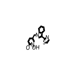 O=c1ccc(Cn2cc(-c3nccs3)c3ccccc32)cn1O